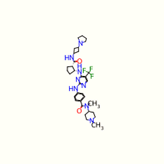 CN1CCC(N(C)C(=O)c2ccc(Nc3ncc(C(F)(F)F)c(N[C@@H]4CCC[C@@H]4C(=O)NC4CC(N5CCCC5)C4)n3)cc2)CC1